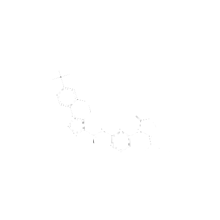 C[C@H](Nc1nccc(N2C(=O)OC[C@@H]2[C@H](C)F)n1)c1ncn2c1CSc1cc(C(F)(F)F)ccc1-2